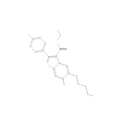 CCOC(=O)c1c(-c2ccc(F)cc2)oc2cc(N)c(CCCCO)cc12